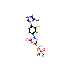 Cc1cncn1-c1ccc(N2C[C@H](COS(C)(=O)=O)OC2=O)cc1F